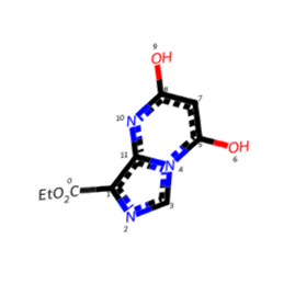 CCOC(=O)c1ncn2c(O)cc(O)nc12